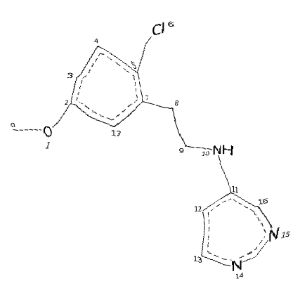 COc1ccc(Cl)c(CCNc2ccnnc2)c1